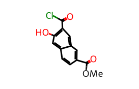 COC(=O)c1ccc2cc(O)c(C(=O)Cl)cc2c1